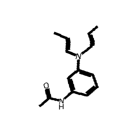 CC=CN(C=CC)c1cccc(NC(C)=O)c1